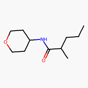 CCCC(C)C(=O)NC1CCOCC1